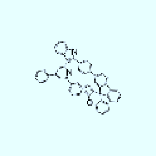 c1ccc(-c2cc(-c3ccccc3)nc(-n3c(-c4ccc(-c5ccc6c(c5)C5(c7ccccc7Oc7ccccc75)c5ccccc5-6)cc4)nc4ccccc43)c2)cc1